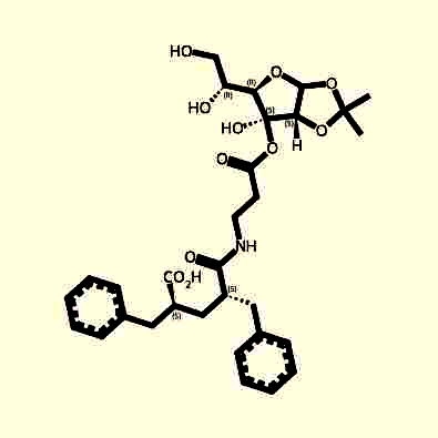 CC1(C)OC2O[C@H]([C@H](O)CO)[C@](O)(OC(=O)CCNC(=O)[C@H](Cc3ccccc3)C[C@@H](Cc3ccccc3)C(=O)O)[C@H]2O1